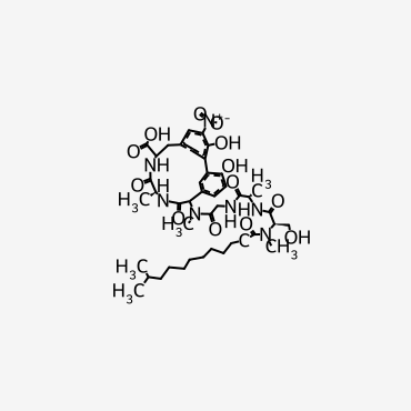 CC(C)CCCCCCCCCC(=O)N(C)[C@H](CO)C(=O)N[C@H](C)C(=O)NCC(=O)N(C)C1C(=O)N[C@@H](C)C(=O)NC(C(=O)O)Cc2cc(c(O)c([N+](=O)[O-])c2)-c2cc1ccc2O